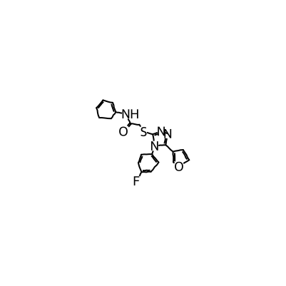 O=C(CSc1nnc(-c2ccoc2)n1-c1ccc(F)cc1)NC1=CC=CCC1